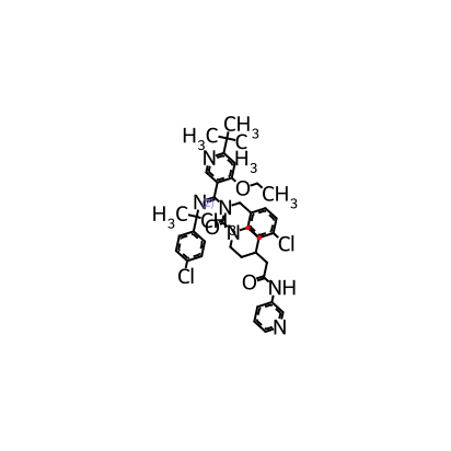 CCOc1cc(C(C)(C)C)ncc1/C(=N/C(C)(C)c1ccc(Cl)cc1)N(Cc1ccc(Cl)cc1)C(=O)N1CCC(CC(=O)Nc2cccnc2)CC1